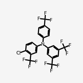 FC(F)(F)c1ccc(N(c2cc(C(F)(F)F)cc(C(F)(F)F)c2)c2ccc(Cl)c(C(F)(F)F)c2)cc1